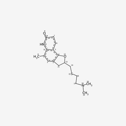 Cc1cc2c(c3ccc(=O)[nH]c13)OC(CSCCN(C)C)C2